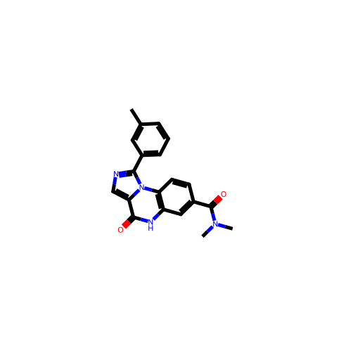 Cc1cccc(-c2ncc3c(=O)[nH]c4cc(C(=O)N(C)C)ccc4n23)c1